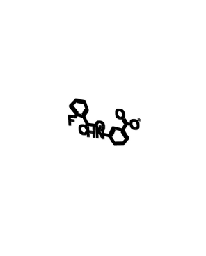 COC(=O)c1cccc(NOC(=O)c2ccccc2F)c1